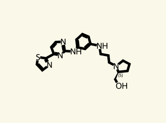 OC[C@@H]1CCCN1CCCNc1cccc(Nc2nccc(-c3nccs3)n2)c1